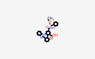 CCOC[C@@H](NC(=O)c1ccc(-c2c(Cl)cccc2-c2nc3ccccc3[nH]2)c(C(=O)O)c1)c1ccccc1